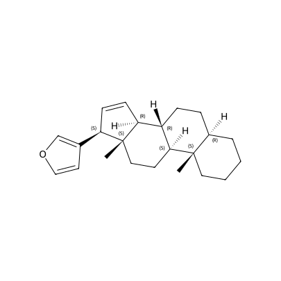 C[C@]12CCCC[C@@H]1CC[C@H]1[C@@H]3C=C[C@H](c4ccoc4)[C@@]3(C)CC[C@@H]12